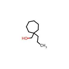 CCCC1(CO)CCCCCC1